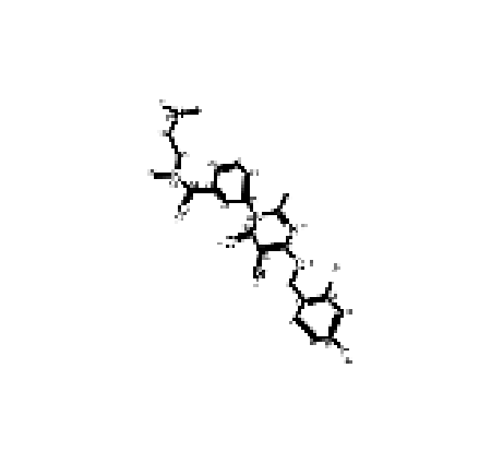 Cc1nc(OCc2ccc(F)cc2F)c(Br)c(=O)n1-c1cccc(C(=O)N(C)CCN(C)C)c1